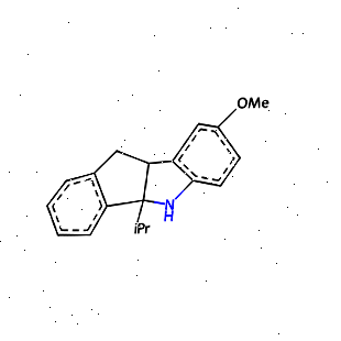 COc1ccc2c(c1)C1Cc3ccccc3C1(C(C)C)N2